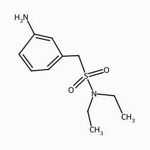 CCN(CC)S(=O)(=O)Cc1cccc(N)c1